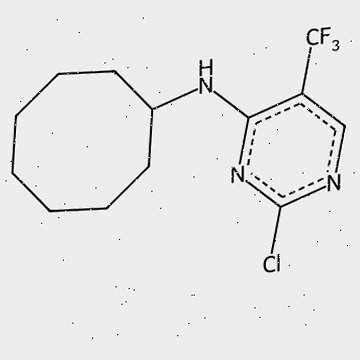 FC(F)(F)c1cnc(Cl)nc1NC1CCCCCCC1